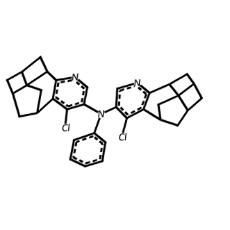 Clc1c(N(c2ccccc2)c2cnc3c(c2Cl)C2CC4CC5CC3C45C2)cnc2c1C1CC3CC4CC2C34C1